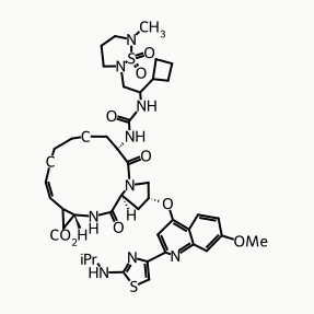 COc1ccc2c(O[C@@H]3C[C@H]4C(=O)N[C@]5(C(=O)O)CC5/C=C\CCCCC[C@H](NC(=O)NC(CN5CCCN(C)S5(=O)=O)C5CCC5)C(=O)N4C3)cc(-c3csc(NC(C)C)n3)nc2c1